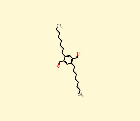 CCCCCCCCc1cc(C=O)c(CCCCCCCC)cc1C=O